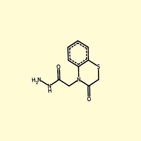 NNC(=O)CN1C(=O)CSc2ccccc21